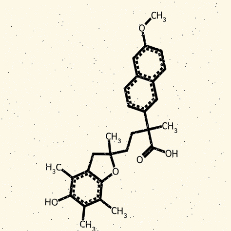 COc1ccc2cc(C(C)(CCC3(C)Cc4c(C)c(O)c(C)c(C)c4O3)C(=O)O)ccc2c1